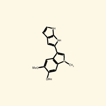 COc1cc2c(-c3cc4cc[nH]c4[nH]3)cn(C)c2cc1OC